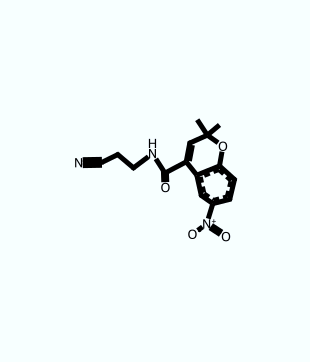 CC1(C)C=C(C(=O)NCCC#N)c2cc([N+](=O)[O-])ccc2O1